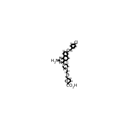 Nc1nc2c(c(N3CCN(CCOCC4CCC(C(=O)O)O4)CC3)n1)CCc1cc(OCc3ccc(Cl)cc3)ccc1-2